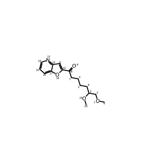 COCC(CCCCC(=O)c1cc2ncccc2o1)OC